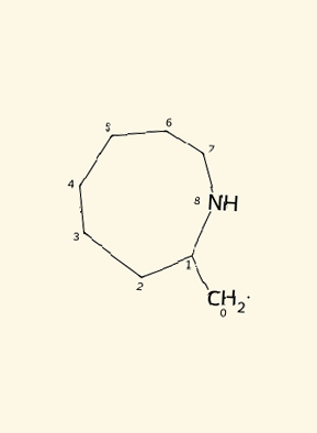 [CH2]C1CCCCCCN1